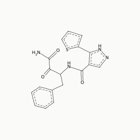 NC(=O)C(=O)C(Cc1ccccc1)NC(=O)c1cn[nH]c1-c1cccs1